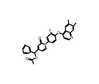 CC(=O)OC(c1ccccc1)c1ccn(-c2ccc(Oc3ccnc4cc(C)c(C)cc34)c(F)c2)c(=O)c1